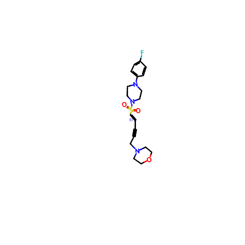 O=S(=O)(/C=C/C#CCN1CCOCC1)N1CCN(c2ccc(F)cc2)CC1